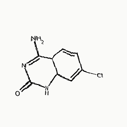 NC1=NC(=O)NC2C=C(Cl)C=CC12